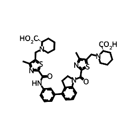 Cc1nc(C(=O)Nc2cccc(-c3cccc4c3CCN4C(=O)c3nc(C)c(CN4CCCC[C@H]4C(=O)O)s3)c2)sc1CN1CCCC[C@H]1C(=O)O